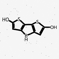 Oc1cc2c(s1)-c1sc(O)cc1B2